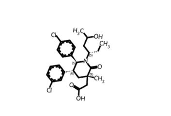 CC[C@@H](CC(C)O)N1C(=O)[C@](C)(CC(=O)O)C[C@H](c2cccc(Cl)c2)[C@H]1c1ccc(Cl)cc1